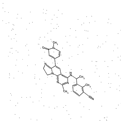 Cc1nc(NC(C)c2cccc(C#N)c2C)c2c(n1)N1CCN=C1C(c1ccn(C)c(=O)c1)=C2